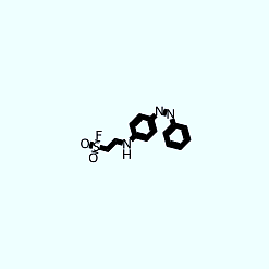 O=S(=O)(F)CCNc1ccc(/N=N\c2ccccc2)cc1